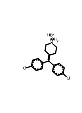 Br.Clc1ccc(C(=C2CCNCC2)c2ccc(Cl)cc2)cc1.O